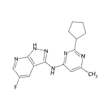 Cc1cc(Nc2n[nH]c3ncc(F)cc23)nc(C2CCCC2)n1